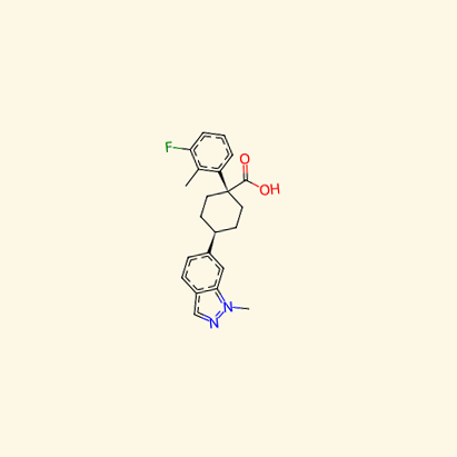 Cc1c(F)cccc1[C@]1(C(=O)O)CC[C@H](c2ccc3cnn(C)c3c2)CC1